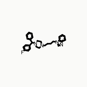 Fc1ccc(C(c2ccccc2)N2CCN(CCCCn3cnc4ccccc43)CC2)cc1